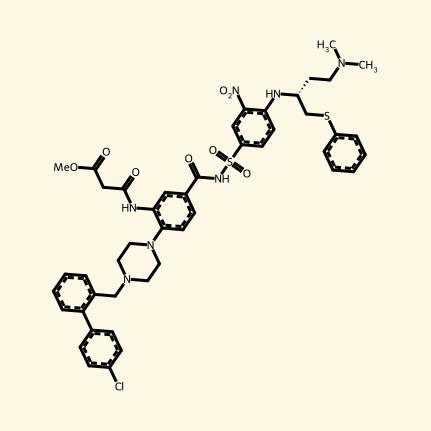 COC(=O)CC(=O)Nc1cc(C(=O)NS(=O)(=O)c2ccc(N[C@H](CCN(C)C)CSc3ccccc3)c([N+](=O)[O-])c2)ccc1N1CCN(Cc2ccccc2-c2ccc(Cl)cc2)CC1